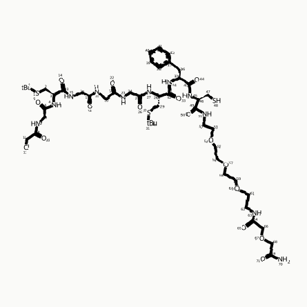 CC(C)(C)SC[C@H](NC(=O)CNC(=O)CCl)C(=O)NCC(=O)NCC(=O)NCC(=O)N[C@@H](CSC(C)(C)C)C(=O)N[C@@H](Cc1ccccc1)C(=O)N[C@@H](CS)C(=O)NCCOCCOCCOCCNC(=O)COCC(N)=O